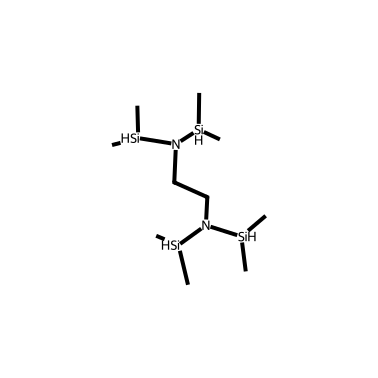 C[SiH](C)N(CCN([SiH](C)C)[SiH](C)C)[SiH](C)C